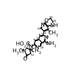 Cc1c(-c2cc3cc(N(C(=O)O)C4(C)CC(=O)N(C)C4)ncc3c(N)n2)cnc2c1NCCO2